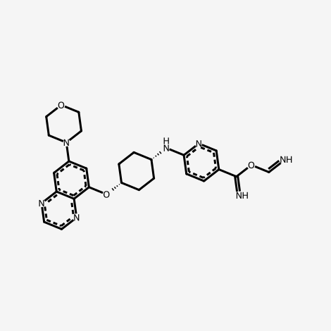 N=COC(=N)c1ccc(N[C@H]2CC[C@@H](Oc3cc(N4CCOCC4)cc4nccnc34)CC2)nc1